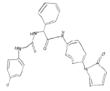 O=C(Nc1ccc(Cl)cc1)NC(C(=O)Nc1ccc(-n2ccccc2=O)cc1)c1ccccc1